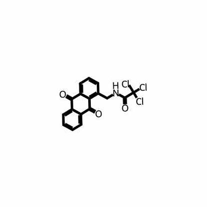 O=C1c2ccccc2C(=O)c2c(CNC(=O)C(Cl)(Cl)Cl)cccc21